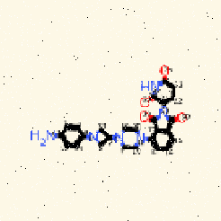 Nc1ccc(N2CC(N3CCN(c4cccc5c4C(=O)N(C4CCC(=O)NC4=O)C5=O)CC3)C2)cc1